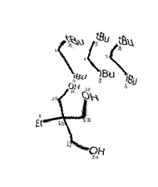 CCC(C)CC(C)(C)C.CCC(C)CC(C)(C)C.CCC(C)CC(C)(C)C.CCC(CO)(CO)CO